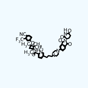 CC1(C)[C@](C)(NC(=O)c2ccc(CCCN3CCN(c4ccc5c(c4)C(=O)N(C4CCC(=O)NC4=O)C5=O)CC3)cn2)C[C@@]1(C)Oc1ccc(C#N)c(C(F)(F)F)c1